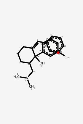 CN(C)CC1CCC/C(=C/c2ccccc2)C1(O)c1cccc(F)c1